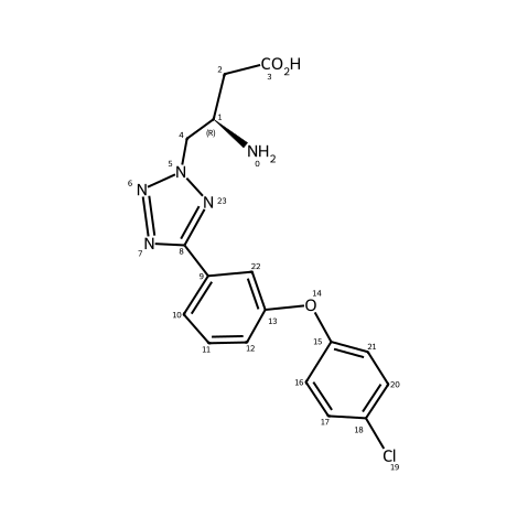 N[C@H](CC(=O)O)Cn1nnc(-c2cccc(Oc3ccc(Cl)cc3)c2)n1